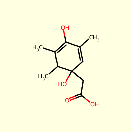 CC1=CC(O)(CC(=O)O)C(C)C(C)=C1O